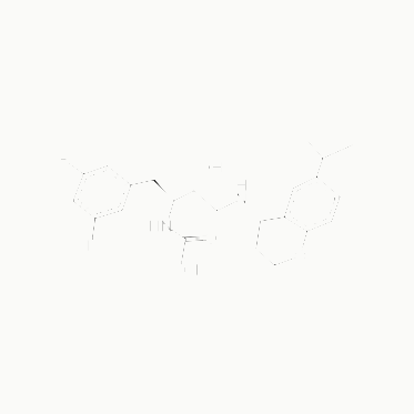 CC(C)c1ccc2c(c1)[C@@H](NC[C@@H](O)[C@H](Cc1cc(F)cc(F)c1)NC(=O)O)CCO2